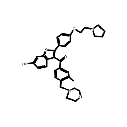 Cc1cc(C(=O)c2c(-c3ccc(OCCN4CCCC4)cc3)sc3cc(O)ccc23)ccc1CN1CCOCC1